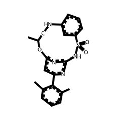 Cc1cccc(C)c1-c1cc2nc(n1)NS(=O)(=O)c1cccc(c1)NCC(C)O2